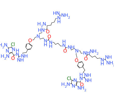 N=C(N)NCCCC[C@@H](N)C(=O)NCCN(CCNC(=O)NCCCCNC(=O)NCCN(CCNC(=O)[C@H](N)CCCCNC(=N)N)CCOc1ccc(CCNC(=N)NC(=O)c2nc(Cl)c(N)nc2N)cc1)CCOc1ccc(CCNC(=N)NC(=O)c2nc(Cl)c(N)nc2N)cc1